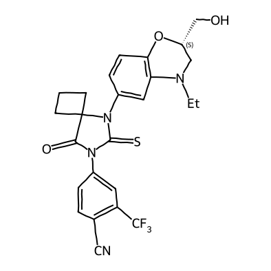 CCN1C[C@@H](CO)Oc2ccc(N3C(=S)N(c4ccc(C#N)c(C(F)(F)F)c4)C(=O)C34CCC4)cc21